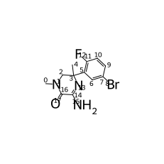 CN1CC(C)(c2cc(Br)ccc2F)N=C(N)C1=O